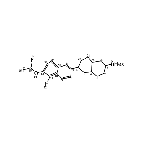 CCCCCCC1CCC2CC(c3ccc4c(F)c(OC(F)F)ccc4c3)CCC2C1